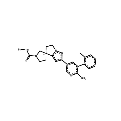 CCNC(=O)N1CC[C@@]2(CCn3nc(-c4cnc(N)c(-c5ccccc5C)c4)cc32)C1